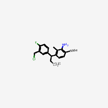 CCOC(=O)CC(c1ccc(F)c(CCl)c1)c1ccc(NC)c(N)c1C